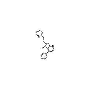 O=C1c2c(-c3ccncc3)ccnc2CN1CCc1ccccn1